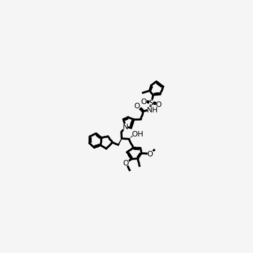 COc1cc([C@@H](O)[C@@H](CC2Cc3ccccc3C2)Cn2ccc(CC(=O)NS(=O)(=O)c3ccccc3C)c2)cc(OC)c1C